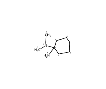 CN(C)C1(N)CCCCC1